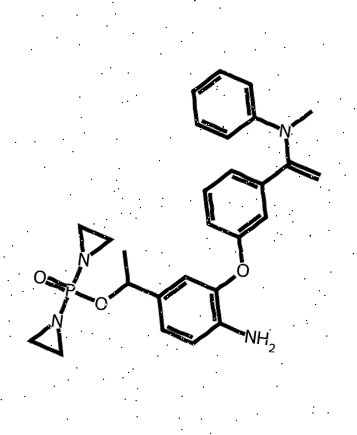 C=C(c1cccc(Oc2cc(C(C)OP(=O)(N3CC3)N3CC3)ccc2N)c1)N(C)c1ccccc1